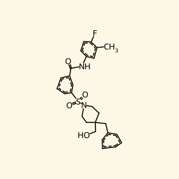 Cc1cc(NC(=O)c2cccc(S(=O)(=O)N3CCC(CO)(Cc4ccccc4)CC3)c2)ccc1F